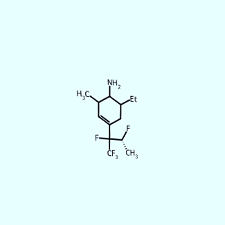 CCC1CC(C(F)([C@@H](C)F)C(F)(F)F)=CC(C)C1N